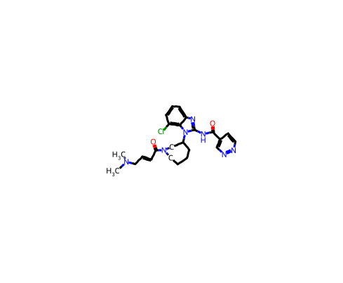 CN(C)CC=CC(=O)N1CCCCC(n2c(NC(=O)c3ccnnc3)nc3cccc(Cl)c32)C1